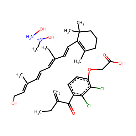 C=C(CC)C(=O)c1ccc(OCC(=O)O)c(Cl)c1Cl.CC1=C(/C=C/C(C)=C/C=C/C(C)=C/CO)C(C)(C)CCC1.CNO.NO